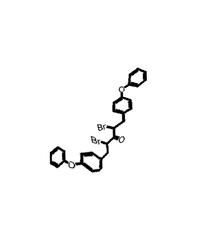 O=C(C(Br)Cc1ccc(Oc2ccccc2)cc1)C(Br)Cc1ccc(Oc2ccccc2)cc1